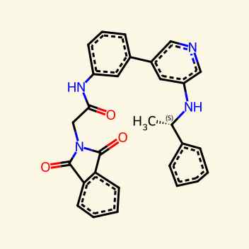 C[C@H](Nc1cncc(-c2cccc(NC(=O)CN3C(=O)c4ccccc4C3=O)c2)c1)c1ccccc1